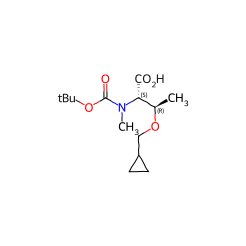 C[C@@H](OCC1CC1)[C@@H](C(=O)O)N(C)C(=O)OC(C)(C)C